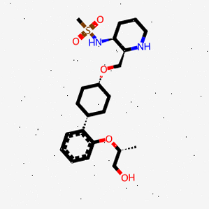 C[C@H](CO)Oc1ccccc1[C@H]1CC[C@@H](OC[C@@H]2NCCC[C@@H]2NS(C)(=O)=O)CC1